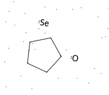 C1CCCC1.[O].[Se]